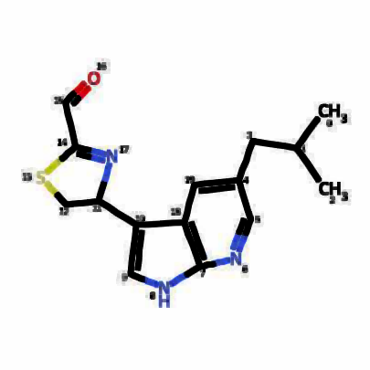 CC(C)Cc1cnc2[nH]cc(C3CSC(C=O)=N3)c2c1